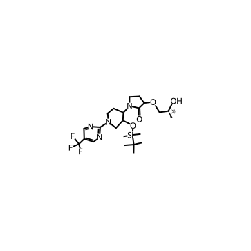 C[C@H](O)COC1CCN(C2CCN(c3ncc(C(F)(F)F)cn3)CC2O[Si](C)(C)C(C)(C)C)C1=O